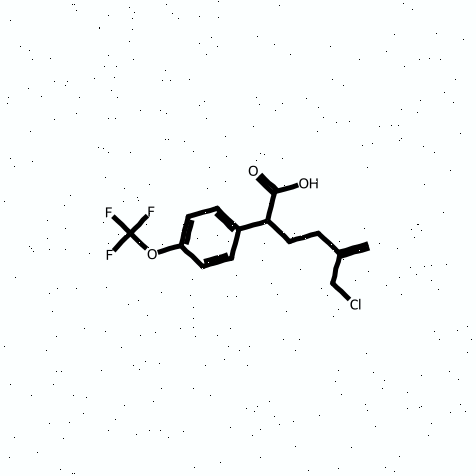 C=C(CCl)CCC(C(=O)O)c1ccc(OC(F)(F)F)cc1